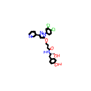 O=C(CCCOc1cc(-c2cccnc2)nn1-c1ccc(Cl)c(Cl)c1)N[C@H](CO)Cc1ccc(O)cc1